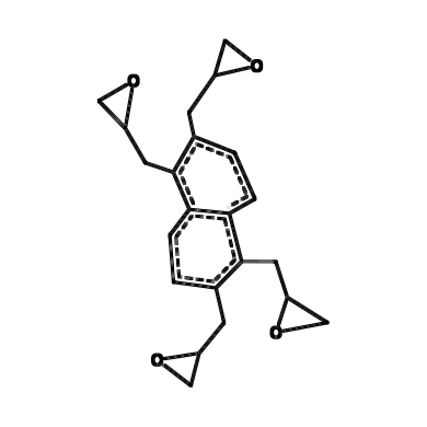 c1cc2c(CC3CO3)c(CC3CO3)ccc2c(CC2CO2)c1CC1CO1